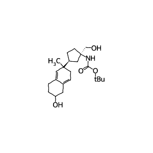 CC(C)(C)OC(=O)N[C@]1(CO)CC[C@H](C2(C)C=C3CCC(O)CC3=CC2)C1